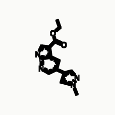 CCOC(=O)c1cnn2ncc(-c3cnn(C)c3)cc12